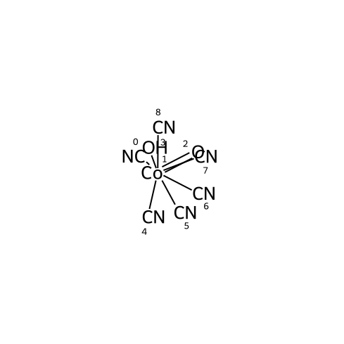 N#[C][Co](=[O])([OH])([C]#N)([C]#N)([C]#N)([C]#N)[C]#N